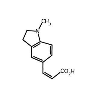 CN1CCc2cc(/C=C\C(=O)O)ccc21